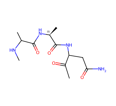 CNC(C)C(=O)N[C@@H](C)C(=O)NC(CC(N)=O)C(C)=O